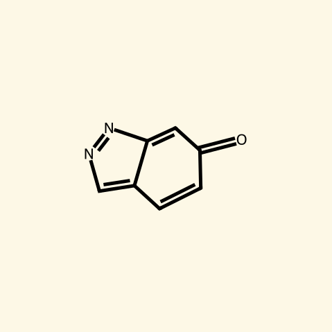 O=C1C=CC2=CN=NC2=C1